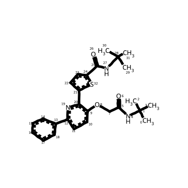 CC(C)(C)NC(=O)COc1ccc(-c2ccccc2)nc1-c1ccc(C(=O)NC(C)(C)C)s1